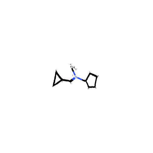 CN(CC1CC1)C1CCCC1